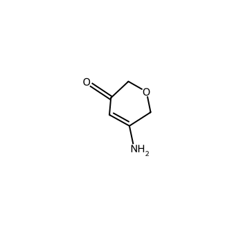 NC1=CC(=O)COC1